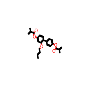 C=C(C)C(=O)Oc1ccc(-c2ccc(OC(=O)C(=C)C)cc2OC/C=C/C)cc1